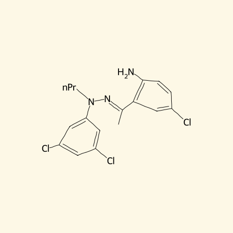 CCCN(/N=C(\C)c1cc(Cl)ccc1N)c1cc(Cl)cc(Cl)c1